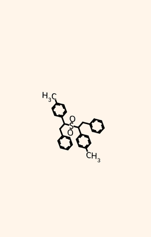 Cc1ccc(C(Cc2ccccc2)S(=O)(=O)C(Cc2ccccc2)c2ccc(C)cc2)cc1